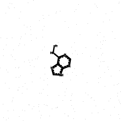 [CH2]CCNc1ncnc2[nH]cnc12